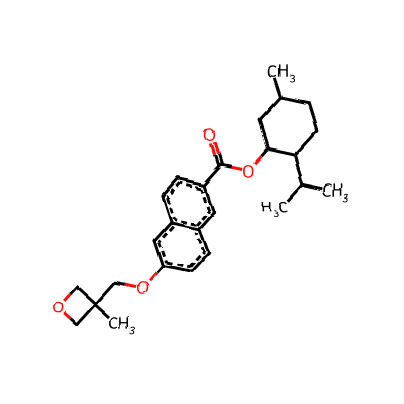 CC1CCC(C(C)C)C(OC(=O)c2ccc3cc(OCC4(C)COC4)ccc3c2)C1